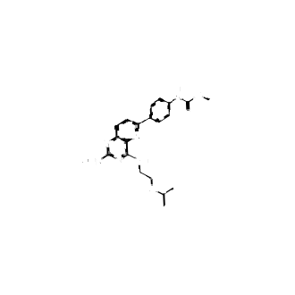 COC(=O)Nc1ccc(-c2ccc3nc(N)nc(NCCOC(C)C)c3n2)cc1